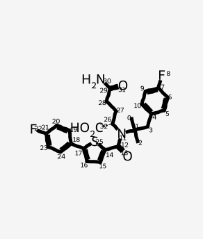 CC(C)(Cc1ccc(F)cc1)N(C(=O)c1ccc(-c2ccc(F)cc2)s1)[C@@H](CCC(N)=O)C(=O)O